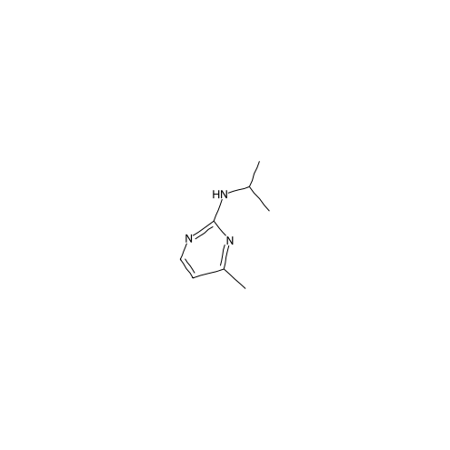 Cc1ccnc(NC(C)C)n1